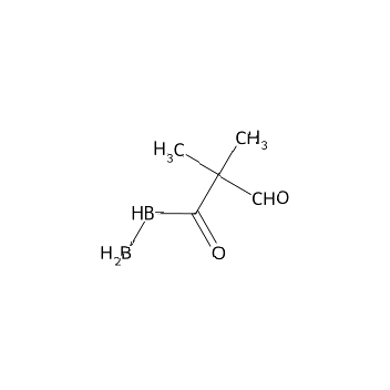 BBC(=O)C(C)(C)C=O